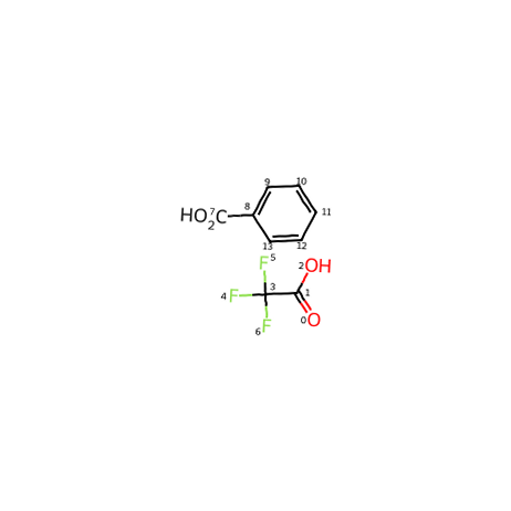 O=C(O)C(F)(F)F.O=C(O)c1ccccc1